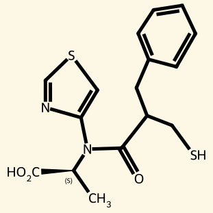 C[C@@H](C(=O)O)N(C(=O)C(CS)Cc1ccccc1)c1cscn1